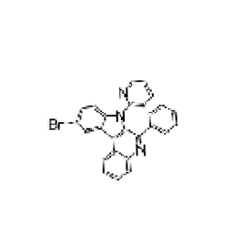 Brc1ccc2c(c1)c1c3ccccc3nc(-c3ccccc3)c1n2-c1ccccn1